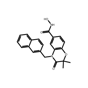 CC1(C)Oc2ccc(C(=O)NO)cc2N(Cc2ccc3ccccc3c2)C1=O